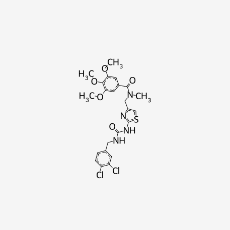 COc1cc(C(=O)N(C)Cc2csc(NC(=O)NCc3ccc(Cl)c(Cl)c3)n2)cc(OC)c1OC